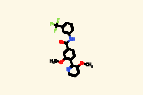 COc1cc(C(=O)Nc2cccc(C(F)(F)F)c2)ccc1-c1ncccc1OC